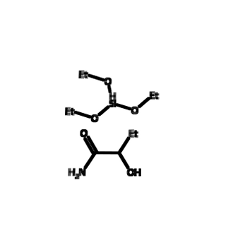 CCC(O)C(N)=O.CCO[SiH](OCC)OCC